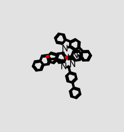 c1ccc(-c2ccc(-c3nc(-c4ccccc4)nc(-n4c5ccccc5c5ccc6c7ccccc7n(-c7cc(-c8ccc9ccccc9c8)ccc7-c7ccccc7)c6c54)n3)cc2)cc1